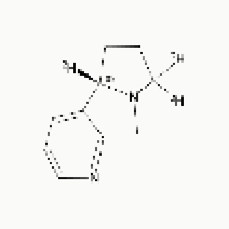 [2H]C1([2H])CC[C@@]([2H])(c2cccnc2)N1C